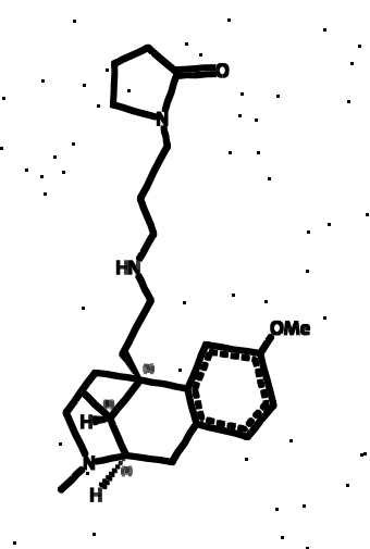 COc1ccc2c(c1)[C@@]1(CCNCCCN3CCCC3=O)CCN(C)[C@H](C2)[C@@H]1C